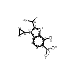 O=[N+]([O-])c1ccc2c(nc(C(F)F)n2C2CC2)c1Cl